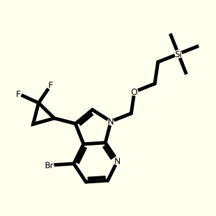 C[Si](C)(C)CCOCn1cc(C2CC2(F)F)c2c(Br)ccnc21